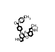 Cc1cc2c(F)c(OC3=CN(c4ccc(C(=O)N5CCN(C)CC5)cc4)Cc4[nH]ccc43)ccc2[nH]1